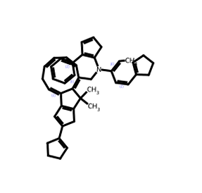 C/C=C(\C=C/C1=CCCC1)N(CC1=C2/C(=C\CC=C/C=C\1)C1=C(CC(C3=CCCC3)=C1)C2(C)C)C1=C(c2ccccc2)C=CC1